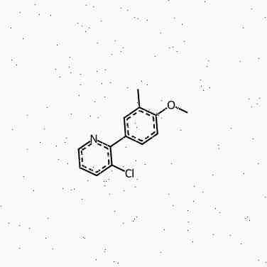 COc1ccc(-c2ncccc2Cl)cc1C